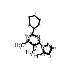 Cc1nc(C2CCCCC2)nc(-n2nccc2F)c1C